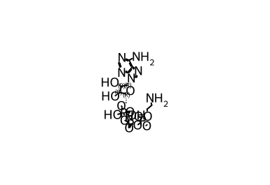 NCCOP(=O)(O)OP(=O)(O)OP(=O)(O)OC[C@H]1O[C@@H](n2cnc3c(N)ncnc32)[C@H](O)[C@@H]1O